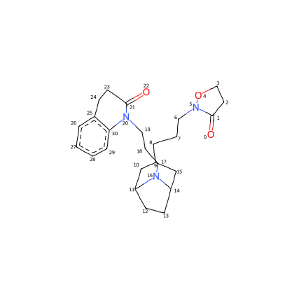 O=C1CCON1CCCC1CC2CCC(C1)N2CCCN1C(=O)CCc2ccccc21